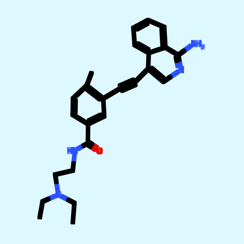 CCN(CC)CCNC(=O)c1ccc(C)c(C#Cc2cnc(N)c3ccccc23)c1